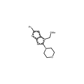 COCn1c(N2CCOCC2)nc2sc(C(C)=O)cc21